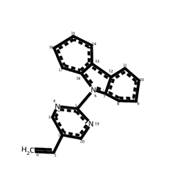 C=Cc1cnc(-n2c3ccccc3c3ccccc32)nc1